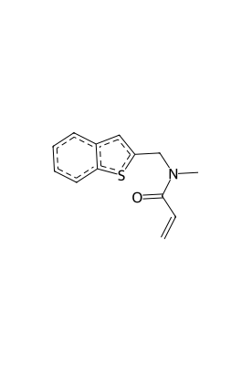 C=CC(=O)N(C)Cc1cc2ccccc2s1